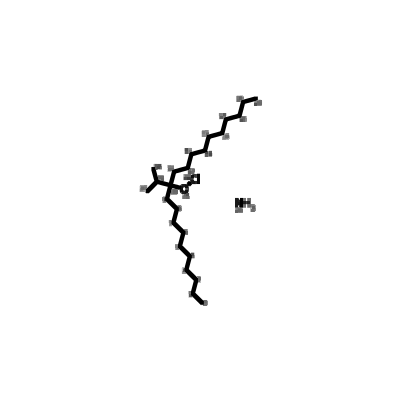 CCCCCCCCCCC(CCCCCCCCCC)(OCl)C(C)C.N